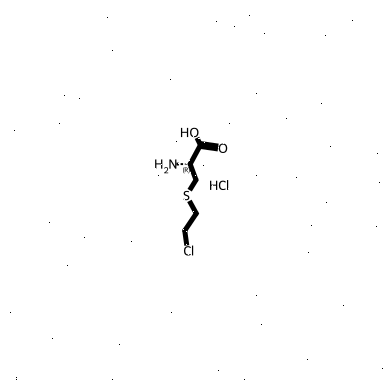 Cl.N[C@@H](CSCCCl)C(=O)O